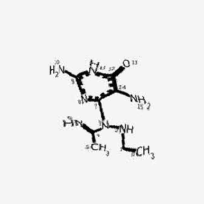 CCNN(C(C)=N)c1nc(N)[nH]c(=O)c1N